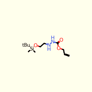 C=CCOC(=O)NNCCO[Si](C)(C)C(C)(C)C